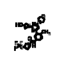 Cc1ccc(NC(=O)N2CCC(CC(F)(F)F)C2)cc1-c1cc(N2CCOCC2)nc(N2CC(O)C2)n1